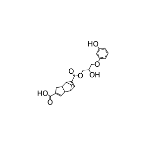 O=C(O)C1=CC2C3C=C(C(=O)OCC(O)COc4cccc(O)c4)C(C3)C2C1